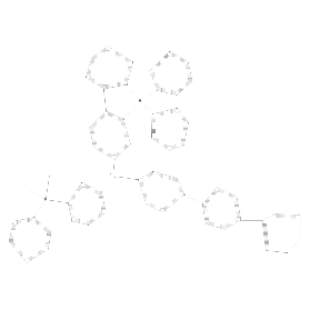 CC1(C)c2ccccc2-c2ccc(N(c3ccc(-c4ccc(C5=CCCC=C5)cc4)cc3)c3ccc4c(c3)C(c3ccccc3)(c3ccccc3)c3ccccc3-4)cc21